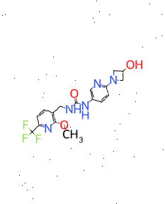 COc1nc(C(F)(F)F)ccc1CNC(=O)Nc1ccc(N2CC(O)C2)nc1